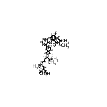 CCN(C(=O)c1cc(F)ccc1Oc1nncnc1N1CCC2(C1)CN(C(CCCN(C)CC(CO)OC)C(C)C)C2)C(C)C